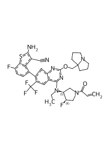 C=CC(=O)N1C[C@@H](F)[C@@H](N(CC)c2nc(OCC34CCCN3CCC4)nc3cc(-c4ccc(F)c5sc(N)c(C#N)c45)c(C(F)(F)F)cc23)C1